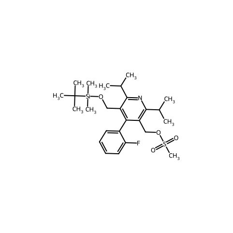 CC(C)c1nc(C(C)C)c(COS(C)(=O)=O)c(-c2ccccc2F)c1CO[Si](C)(C)C(C)(C)C